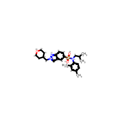 Cc1ccc(N(CC(C)C)S(=O)(=O)c2ccc3nn(CC4CCOCC4)cc3c2)c(C)c1